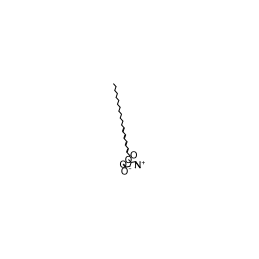 CCCCCCCCCCCCCC=CC=CC=CC=CC(=O)OC(CC(=O)[O-])C[N+](C)(C)C